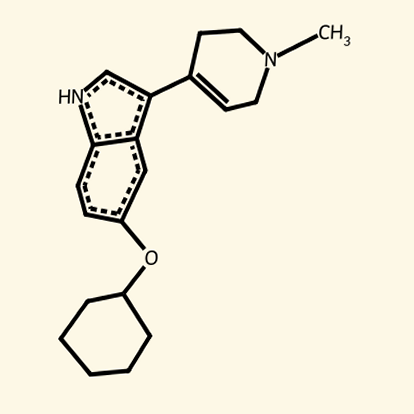 CN1CC=C(c2c[nH]c3ccc(OC4CCCCC4)cc23)CC1